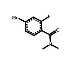 CN(C)C(=O)c1ccc(C(C)(C)C)cc1F